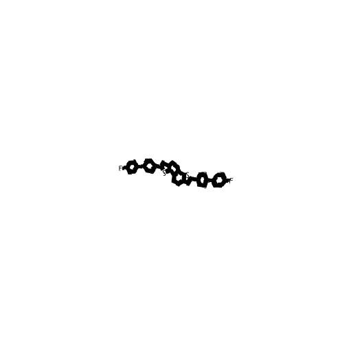 Fc1ccc(-c2ccc(-c3cc4ccc5c(ccc6cc(-c7ccc(-c8ccc(F)cc8)cc7)sc65)c4s3)cc2)cc1